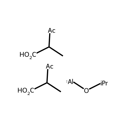 CC(=O)C(C)C(=O)O.CC(=O)C(C)C(=O)O.CC(C)[O][Al]